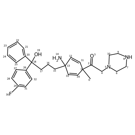 CC1(C(=O)CN2CCNCC2)C=CC(N)(CCCC(O)(c2ccccc2)c2ccc(F)cc2)C=C1